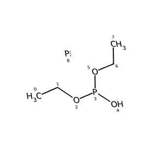 CCOP(O)OCC.[P]